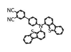 N#Cc1ccc(-c2ccc(N(c3cccc4c3sc3ccccc34)c3cccc4c3sc3ccccc34)cc2)cc1C#N